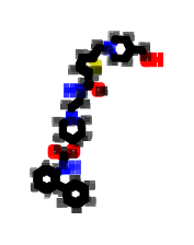 O=C(Nc1ccccc1-c1ccccc1)OC1CCN(CCNC(=O)c2ccc(CN3CCC(CO)CC3)s2)CC1